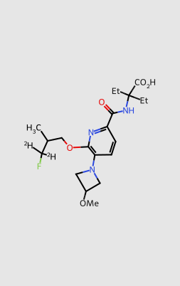 [2H]C([2H])(F)C(C)COc1nc(C(=O)NC(CC)(CC)C(=O)O)ccc1N1CC(OC)C1